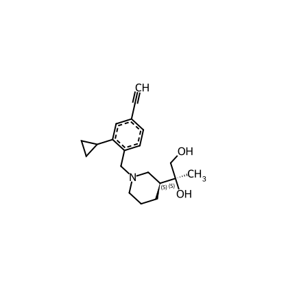 C#Cc1ccc(CN2CCC[C@H]([C@](C)(O)CO)C2)c(C2CC2)c1